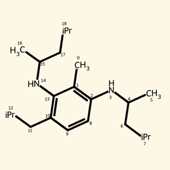 Cc1c(NC(C)CC(C)C)ccc(CC(C)C)c1NC(C)CC(C)C